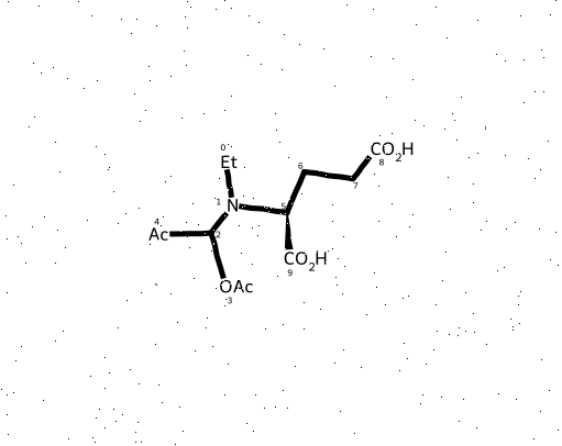 CCN(C(OC(C)=O)C(C)=O)[C@@H](CCC(=O)O)C(=O)O